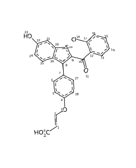 O=C(O)/C=C/Oc1ccc(-c2c(C(=O)c3ccccc3Cl)sc3cc(O)ccc23)cc1